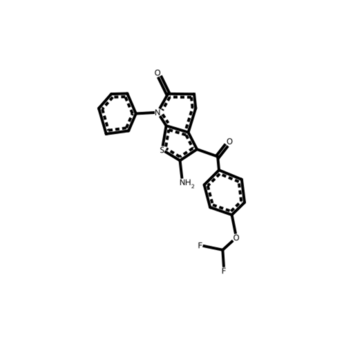 Nc1sc2c(ccc(=O)n2-c2ccccc2)c1C(=O)c1ccc(OC(F)F)cc1